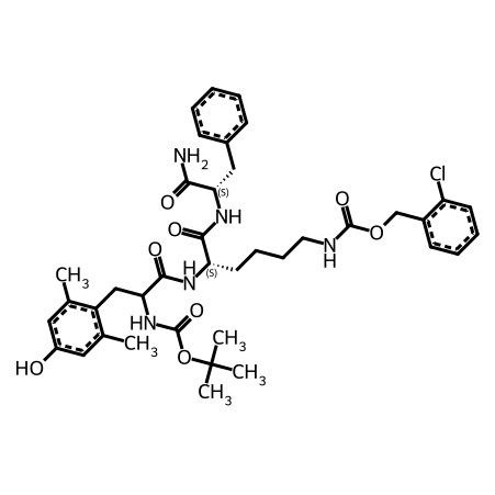 Cc1cc(O)cc(C)c1CC(NC(=O)OC(C)(C)C)C(=O)N[C@@H](CCCCNC(=O)OCc1ccccc1Cl)C(=O)N[C@@H](Cc1ccccc1)C(N)=O